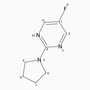 Fc1cnc(N2CCCC2)nc1